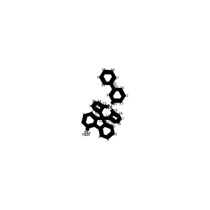 Brc1cccc2c1-c1ccccc1C21c2ccccc2N(c2cccc(-c3ccccc3)c2)c2ccccc21